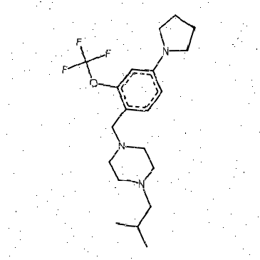 C[C](C)CN1CCN(Cc2ccc(N3CCCC3)cc2OC(F)(F)F)CC1